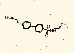 C#CCOc1ccc(-c2ccc(S(=O)(=O)NCC=C)cc2)cc1